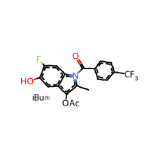 CC[C@H](C)c1c(O)c(F)cc2c1c(OC(C)=O)c(C)n2C(=O)c1ccc(C(F)(F)F)cc1